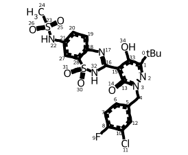 CC(C)(C)c1nn(Cc2ccc(F)c(Cl)c2)c(=O)c(C2=Nc3ccc(NS(C)(=O)=O)cc3S(=O)(=O)N2)c1O